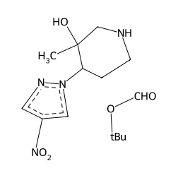 CC(C)(C)OC=O.CC1(O)CNCCC1n1cc([N+](=O)[O-])cn1